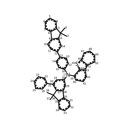 CC1(C)c2ccccc2-c2ccc(-c3ccc(N(c4cc(-c5ccccc5)c5c(c4)-c4ccccc4C5(C)C)c4cccc5c4sc4ccccc45)cc3)cc21